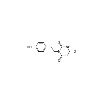 O=C1CC(=O)N(CCc2ccc(O)cc2)C(=S)N1